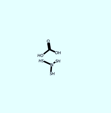 O=C(O)O.[SH][Bi]([SH])[SH]